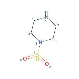 O=[SH](=O)N1CCNCC1